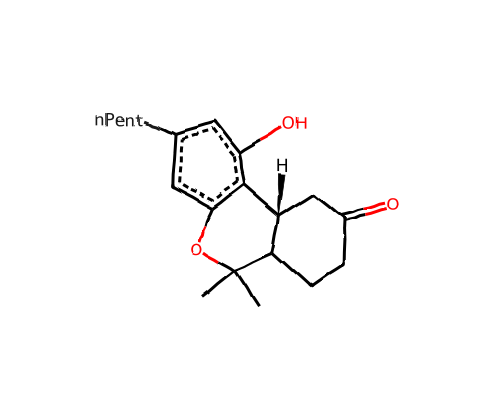 CCCCCc1cc(O)c2c(c1)OC(C)(C)C1CCC(=O)C[C@@H]21